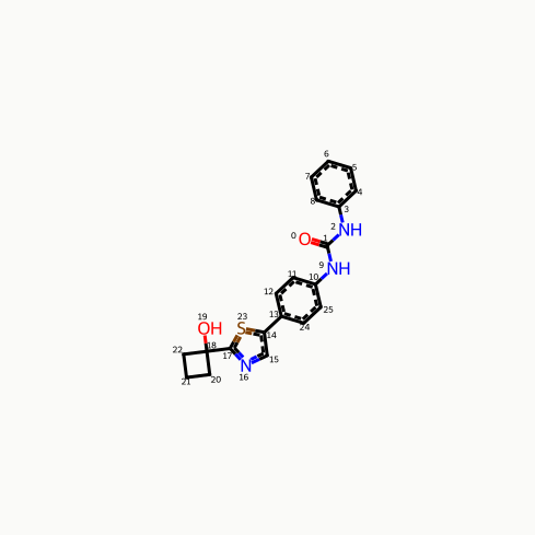 O=C(Nc1ccccc1)Nc1ccc(-c2cnc(C3(O)CCC3)s2)cc1